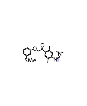 CSc1cccc(OCC(=O)c2cc(C)c(/N=C\N(C)C)cc2C)c1